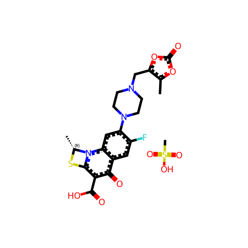 CS(=O)(=O)O.Cc1oc(=O)oc1CN1CCN(c2cc3c(cc2F)c(=O)c(C(=O)O)c2n3[C@@H](C)S2)CC1